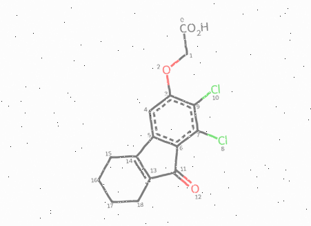 O=C(O)COc1cc2c(c(Cl)c1Cl)C(=O)C1=C2CCCC1